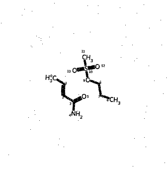 CC=CC(N)=O.CCCOS(C)(=O)=O